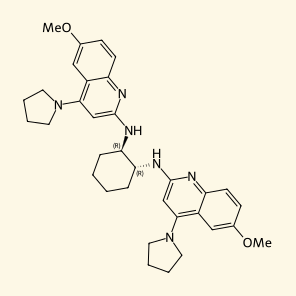 COc1ccc2nc(N[C@@H]3CCCC[C@H]3Nc3cc(N4CCCC4)c4cc(OC)ccc4n3)cc(N3CCCC3)c2c1